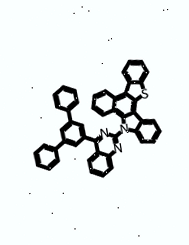 c1ccc(-c2cc(-c3ccccc3)cc(-c3nc(-n4c5ccccc5c5c6sc7ccccc7c6c6ccccc6c54)nc4ccccc34)c2)cc1